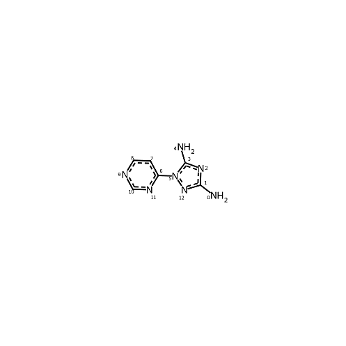 Nc1nc(N)n(-c2ccncn2)n1